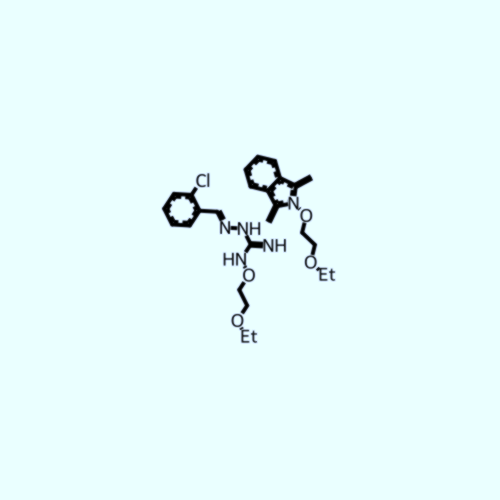 C=c1c2ccccc2c(=C)n1OCCOCC.CCOCCONC(=N)NN=Cc1ccccc1Cl